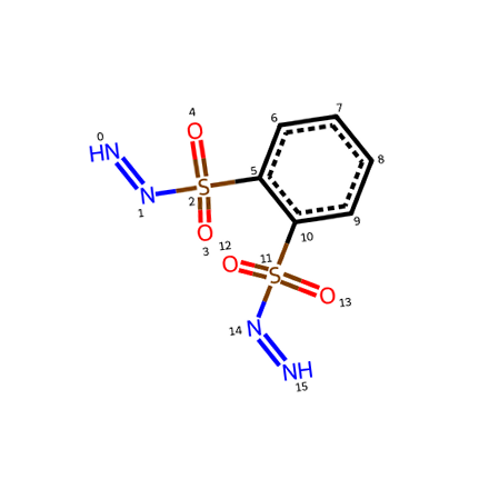 N=NS(=O)(=O)c1ccccc1S(=O)(=O)N=N